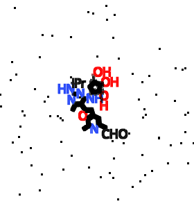 Cc1nc(NC(C)C)nc(N[C@@H]2C[C@H](CO)[C@@H](O)[C@H]2O)c1-c1cc2cc(CC=O)nc(C)c2o1